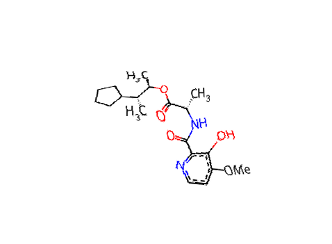 COc1ccnc(C(=O)N[C@@H](C)C(=O)O[C@H](C)[C@H](C)C2CCCC2)c1O